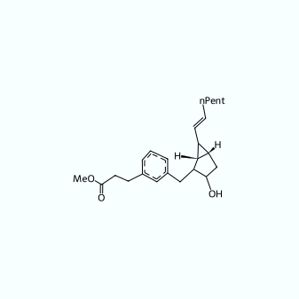 CCCCCC=CC1[C@H]2C(Cc3cccc(CCC(=O)OC)c3)C(O)C[C@@H]12